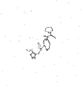 C[C@H](Sc1nncn1C)c1cccc(NC(=O)N2CCCC2)c1